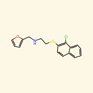 Clc1c(SCCNCc2ccco2)ccc2ccccc12